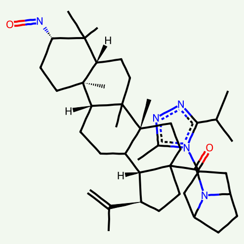 C=C(C)[C@@H]1CCC2(C(=O)N3C4CCC3CC(n3c(C)nnc3C(C)C)C4)CC[C@]3(C)C(CC[C@H]4C3(C)CC[C@H]3C(C)(C)[C@@H](N=O)CC[C@@]34C)[C@@H]12